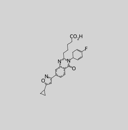 O=C(O)CCCCc1nc2cc(-c3cc(C4CC4)on3)ccc2c(=O)n1C1C=CC(F)=CC1